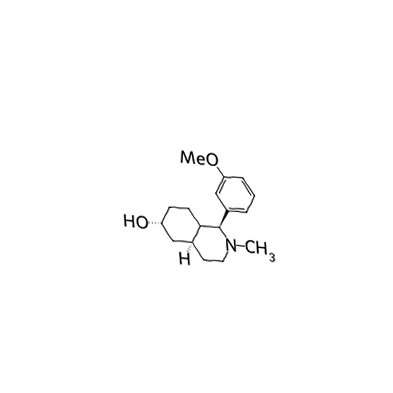 COc1cccc([C@@H]2C3CC[C@@H](O)C[C@@H]3CCN2C)c1